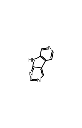 c1cc2c(cn1)[nH]c1ncncc12